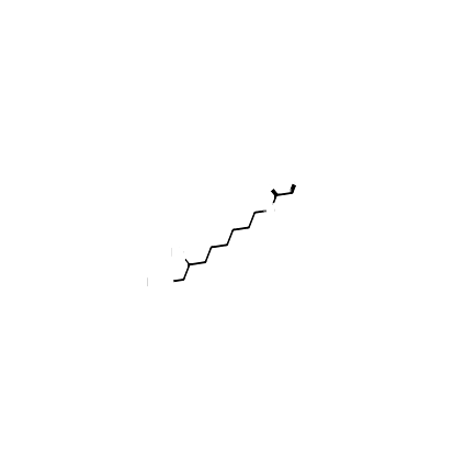 C=CC(=O)OCCCCCCC(O)CC